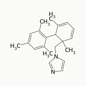 CC1=CC=CC(C)(Cn2ccnc2)C1c1c(C)cc(C)cc1C